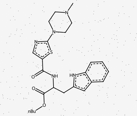 CCCCOC(=O)C(Cc1cc2ccccc2[nH]1)NC(=O)c1cnc(N2CCN(C)CC2)s1